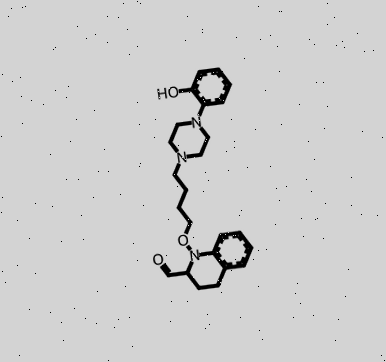 O=CC1CCc2ccccc2N1OCCCCN1CCN(c2ccccc2O)CC1